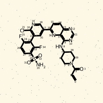 C=CC(=O)N1CCC(Nc2ncnc3ccc(-c4cnc(Cl)c(-c5c(F)ccc(S(N)(=O)=O)c5F)c4)nc23)CC1